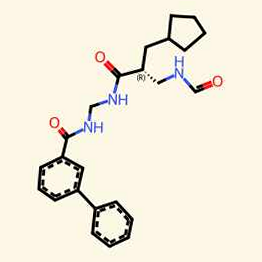 O=CNC[C@@H](CC1CCCC1)C(=O)NCNC(=O)c1cccc(-c2ccccc2)c1